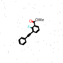 COC(=O)c1cccc(C#Cc2ccccc2)c1F